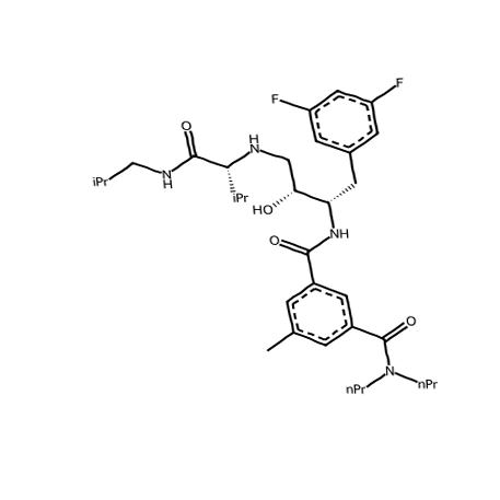 CCCN(CCC)C(=O)c1cc(C)cc(C(=O)N[C@@H](Cc2cc(F)cc(F)c2)[C@H](O)CN[C@@H](C(=O)NCC(C)C)C(C)C)c1